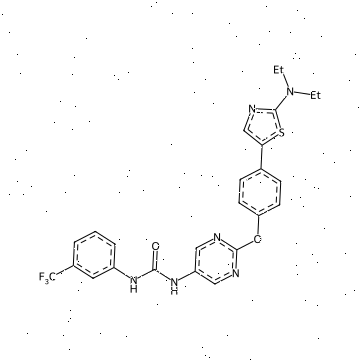 CCN(CC)c1ncc(-c2ccc(Oc3ncc(NC(=O)Nc4cccc(C(F)(F)F)c4)cn3)cc2)s1